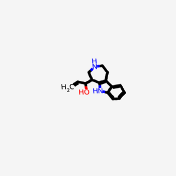 C=CC(O)C1CNCCc2c1[nH]c1ccccc21